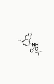 [CH2]c1ccc(NC(=O)OC(C)(C)C)c2c1COC2